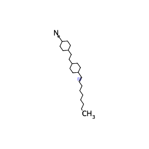 CCCCCCC/C=C/C1CCC(CCC2CCC(C#N)CC2)CC1